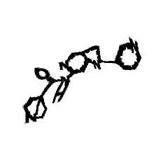 O=C(Nc1cc2nc(-c3cccnc3)ccc2cn1)C12CCN(CC1)CC2